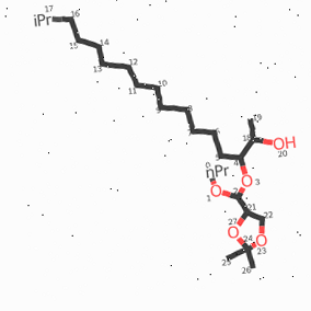 CCCOC(OC(CCCCCCCCCCCCC(C)C)C(C)O)C1COC(C)(C)O1